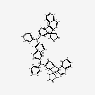 c1ccc(N(c2ccc3c(c2)C2(CCCC2)c2ccc4ccccc4c2-3)c2ccc3cc(N(c4ccccc4)c4ccc5c(c4)C4(CCCC4)c4ccc6ccccc6c4-5)ccc3c2)cc1